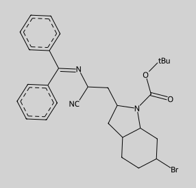 CC(C)(C)OC(=O)N1C(CC(C#N)N=C(c2ccccc2)c2ccccc2)CC2CCC(Br)CC21